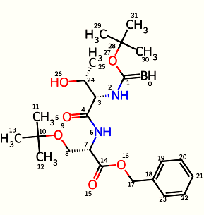 B=C(N[C@H](C(=O)N[C@@H](COC(C)(C)C)C(=O)OCc1ccccc1)[C@@H](C)O)OC(C)(C)C